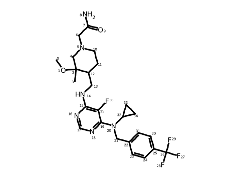 COC1(C)CN(CC(N)=O)CCC1CNc1ncnc(N(Cc2ccc(C(F)(F)F)cc2)C2CC2)c1F